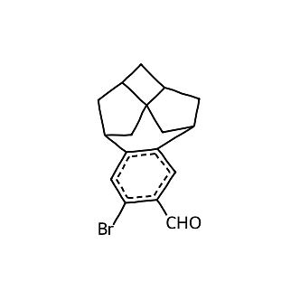 O=Cc1cc2c(cc1Br)C1CC3CC4CC2CC34C1